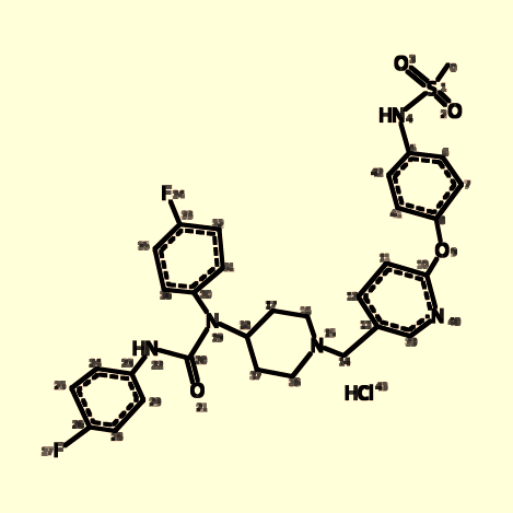 CS(=O)(=O)Nc1ccc(Oc2ccc(CN3CCC(N(C(=O)Nc4ccc(F)cc4)c4ccc(F)cc4)CC3)cn2)cc1.Cl